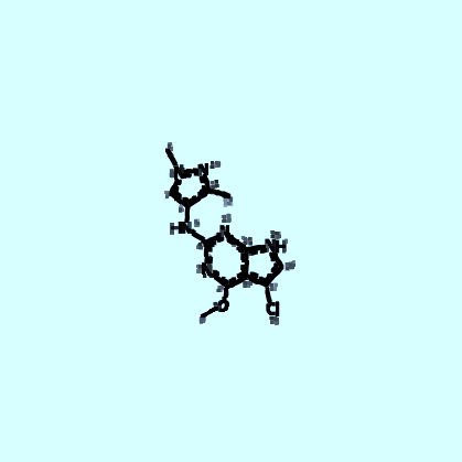 COc1nc(Nc2cn(C)nc2C)nc2[nH]cc(Cl)c12